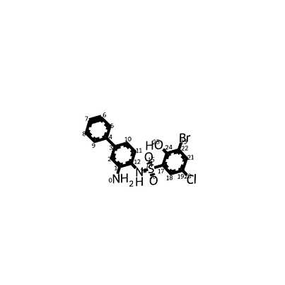 Nc1cc(-c2cc#ccc2)ccc1NS(=O)(=O)c1cc(Cl)cc(Br)c1O